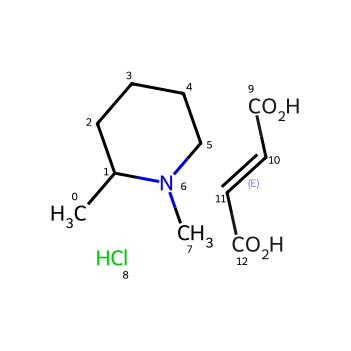 CC1CCCCN1C.Cl.O=C(O)/C=C/C(=O)O